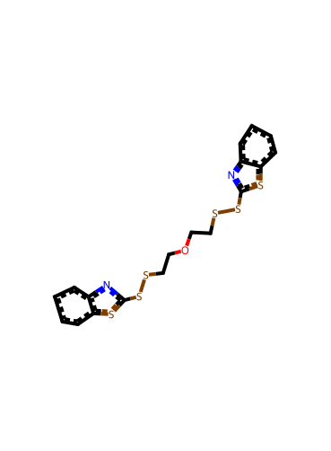 c1ccc2sc(SSCCOCCSSc3nc4ccccc4s3)nc2c1